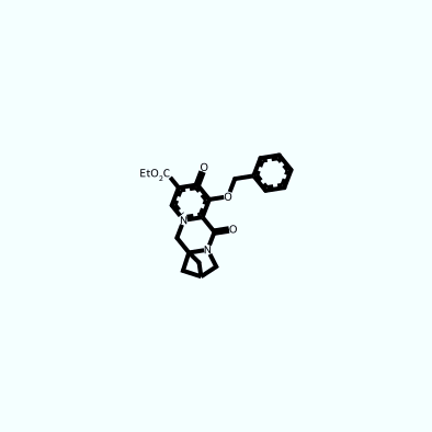 CCOC(=O)c1cn2c(c(OCc3ccccc3)c1=O)C(=O)N1CC3CC1(C3)C2